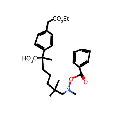 CCOC(=O)Cc1ccc(C(C)(CCCC(C)(C)CN(C)OC(=O)c2ccccc2)C(=O)O)cc1